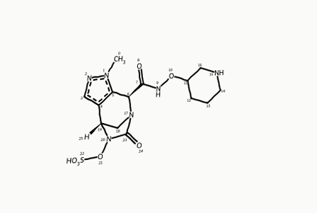 Cn1ncc2c1[C@@H](C(=O)NOC1CCCNC1)N1C[C@@H]2N(OS(=O)(=O)O)C1=O